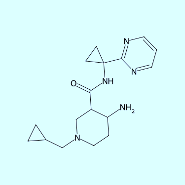 NC1CCN(CC2CC2)CC1C(=O)NC1(c2ncccn2)CC1